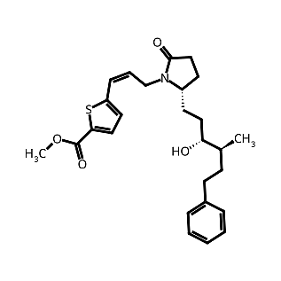 COC(=O)c1ccc(/C=C\CN2C(=O)CC[C@@H]2CC[C@@H](O)[C@@H](C)CCc2ccccc2)s1